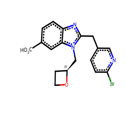 O=C(O)c1ccc2nc(Cc3ccc(Br)nc3)n(C[C@@H]3CCO3)c2c1